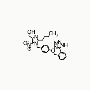 CCCCc1nc(CO)c([N+](=O)[O-])n1Cc1ccc(OCc2ccccc2-c2nnn[nH]2)cc1